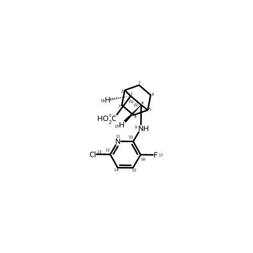 O=C(O)[C@H]1C2CCC(CC2)[C@@H]1Nc1nc(Cl)ccc1F